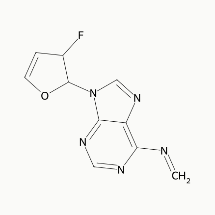 C=Nc1ncnc2c1ncn2C1OC=CC1F